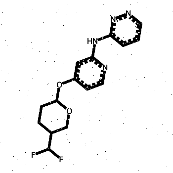 FC(F)C1CCC(Oc2ccnc(Nc3cccnn3)c2)OC1